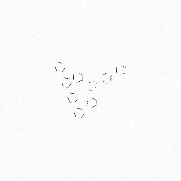 c1ccc(-c2ccc(-c3ccc(-c4cccc5oc6ccc(-c7nc(-c8ccccc8)nc(-c8ccc(-c9ccccc9)cc8)n7)cc6c45)cn3)cc2)cc1